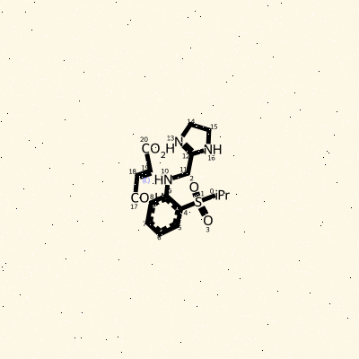 CC(C)S(=O)(=O)c1ccccc1NCC1=NCCN1.O=C(O)/C=C/C(=O)O